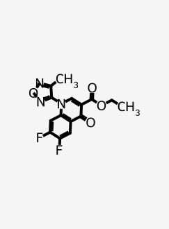 CCOC(=O)c1cn(-c2nonc2C)c2cc(F)c(F)cc2c1=O